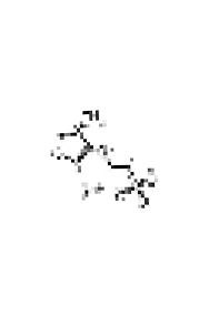 Cc1cscc1OCCS(=O)(=O)O.[NaH]